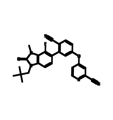 Cn1c(=O)n(CC(C)(C)C)c2ccc(-c3cc(Oc4ccnc(C#N)c4)ccc3C#N)c(F)c21